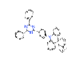 c1ccc(-c2nc(-c3ccccc3)nc(-c3ccc(N4c5ccccc5C5(c6ccccc64)C4CC6CC(C4)CC5C6)cc3)n2)cc1